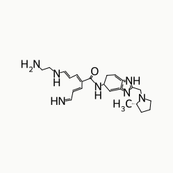 C[C@H]1CCCN1Cc1nc2c([nH]1)=CCC(NC(=O)C(/C=C/C=N)=C/C=C/NCCN)C=2